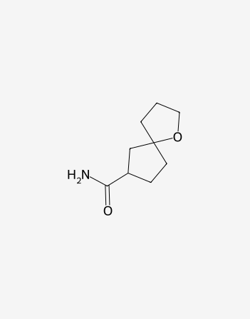 NC(=O)C1CCC2(CCCO2)C1